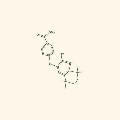 COC(=O)c1ccc(Oc2cc3c(cc2C(C)C)C(C)(C)CCC3(C)C)cc1